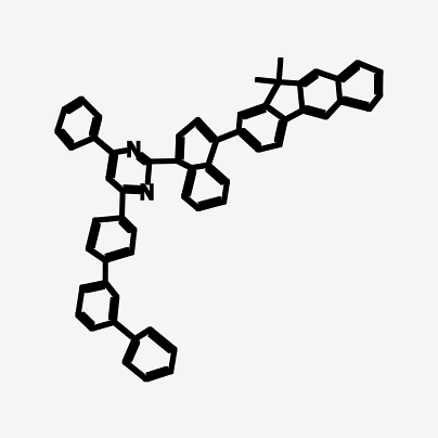 CC1(C)c2cc(-c3ccc(-c4nc(-c5ccccc5)cc(-c5ccc(-c6cccc(-c7ccccc7)c6)cc5)n4)c4ccccc34)ccc2-c2cc3ccccc3cc21